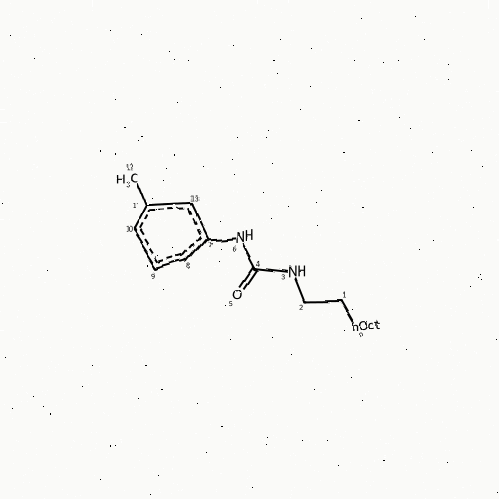 CCCCCCCCCCNC(=O)Nc1cccc(C)c1